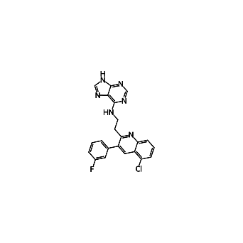 Fc1cccc(-c2cc3c(Cl)cccc3nc2CCNc2ncnc3[nH]cnc23)c1